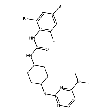 CN(C)c1ccnc(NC2CCC(NC(=O)Nc3c(F)cc(Br)cc3Br)CC2)n1